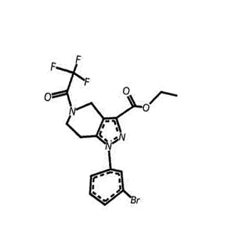 CCOC(=O)c1nn(-c2cccc(Br)c2)c2c1CN(C(=O)C(F)(F)F)CC2